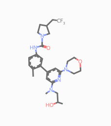 Cc1ccc(NC(=O)N2CCC(CC(F)(F)F)C2)cc1-c1cc(N(C)CC(C)O)nc(N2CCOCC2)c1